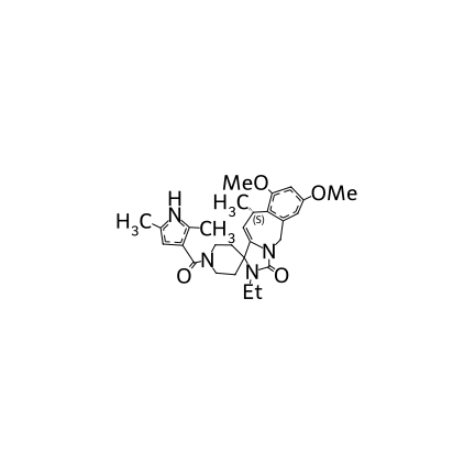 CCN1C(=O)N2Cc3cc(OC)cc(OC)c3[C@@H](C)C=C2C12CCN(C(=O)c1cc(C)[nH]c1C)CC2